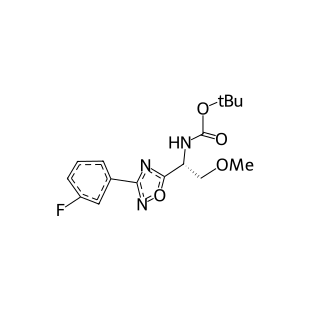 COC[C@@H](NC(=O)OC(C)(C)C)c1nc(-c2cccc(F)c2)no1